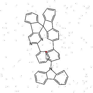 c1ccc(-c2ncc3c(n2)C2(c4ccccc4-c4ccc(-c5ccc(-n6c7ccccc7c7ccccc76)cc5)cc42)c2ccccc2-3)cc1